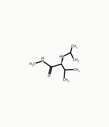 CNC(=O)[C@@H](NC(C)C)C(C)C